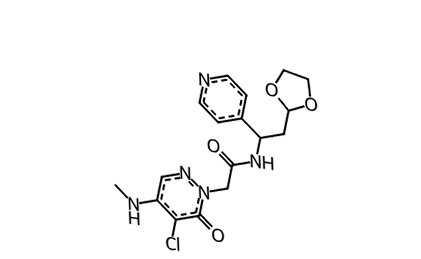 CNc1cnn(CC(=O)NC(CC2OCCO2)c2ccncc2)c(=O)c1Cl